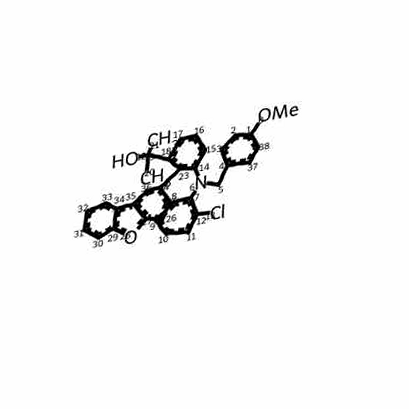 COc1ccc(CN(c2ccccc2Cl)c2cccc(C(C)(C)O)c2-c2ccc3oc4ccccc4c3c2)cc1